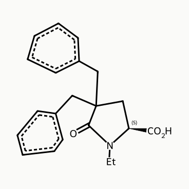 CCN1C(=O)C(Cc2ccccc2)(Cc2ccccc2)C[C@H]1C(=O)O